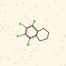 Brc1c(Br)c(Br)c2c(c1Br)CCCC2